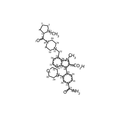 CN1CCCC1C(=O)N1CCN(Cc2cccc3c(-c4ccc(C(N)=O)cc4N4CCOCC4)c(C(=O)O)n(C)c23)CC1